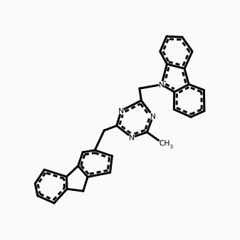 Cc1nc(Cc2ccc3c(c2)-c2ccccc2C3)nc(Cn2c3ccccc3c3ccccc32)n1